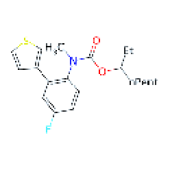 CCCCCC(CC)OC(=O)N(C)c1ccc(F)cc1-c1ccsc1